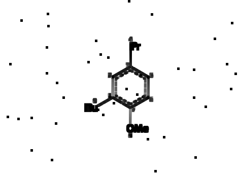 CCC(C)c1cc(C(C)C)ccc1OC